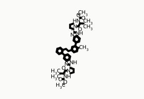 COC(=O)N[C@H](C(=O)N1CCC[C@H]1c1nc2cc(-c3cc(CCc4ccccc4-c4ccc5[nH]c([C@@H]6CCCN6C(=O)[C@@H](NC(=O)OC)C(C)C)nc5c4)ccc3C)ccc2[nH]1)C(C)C